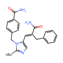 CCCCc1ncc(/C=C(\Cc2ccccc2)C(N)=O)n1Cc1ccc(C(N)=O)cc1